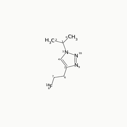 CC(C)n1cc(CC[18F])nn1